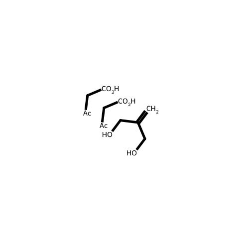 C=C(CO)CO.CC(=O)CC(=O)O.CC(=O)CC(=O)O